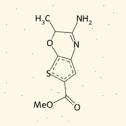 COC(=O)c1cc2c(s1)OC(C)C(N)=N2